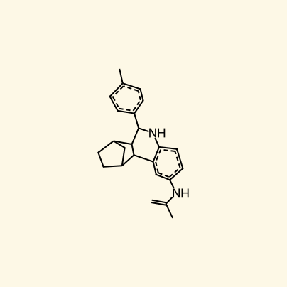 C=C(C)Nc1ccc2c(c1)C1C3CCC(C3)C1C(c1ccc(C)cc1)N2